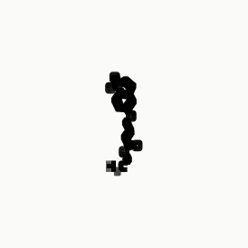 CCOC(=O)/C=C/COc1ccc2c(c1)C=CS2(=O)=O